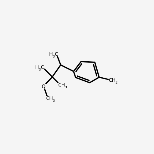 [CH2]c1ccc(C(C)C(C)(C)OC)cc1